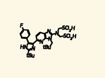 CC(C)(C)Cn1c(N(CS(=O)(=O)O)CS(=O)(=O)O)nc2ccc(-c3nc(C(C)(C)C)[nH]c3-c3ccc(F)cc3)nc21